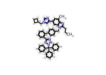 CCCc1nc2c(C)cc(-c3cn(CC4CCC4)cn3)cc2n1Cc1ccc(-c2ccccc2-c2nnn(C(c3ccccc3)(c3ccccc3)c3ccccc3)n2)cc1